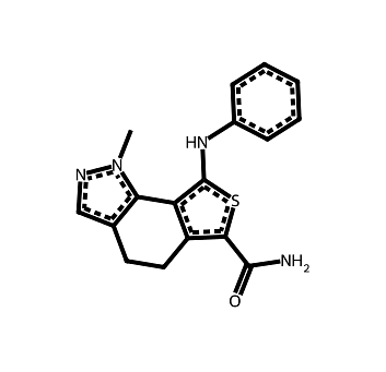 Cn1ncc2c1-c1c(Nc3ccccc3)sc(C(N)=O)c1CC2